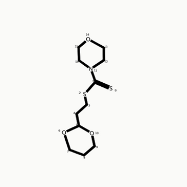 S=C(SCCC1OCCCO1)N1CCOCC1